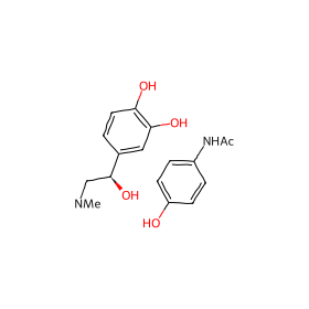 CC(=O)Nc1ccc(O)cc1.CNC[C@H](O)c1ccc(O)c(O)c1